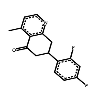 Cc1ccnc2c1C(=O)CC(c1ccc(F)cc1F)C2